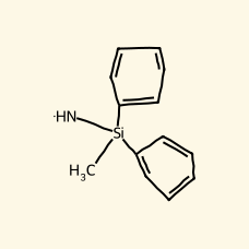 C[Si]([NH])(c1ccccc1)c1ccccc1